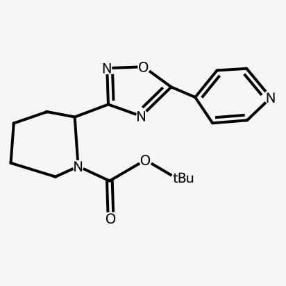 CC(C)(C)OC(=O)N1CCCCC1c1noc(-c2ccncc2)n1